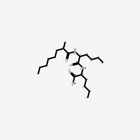 CCCCCCC(C)C(=O)NC(CCCC)C(=O)NC(CCCC)C(=O)O